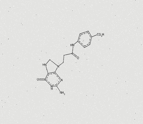 Nc1nc2c(c(=O)[nH]1)NCN2CCC(=O)Nc1ccc(C(=O)O)cc1